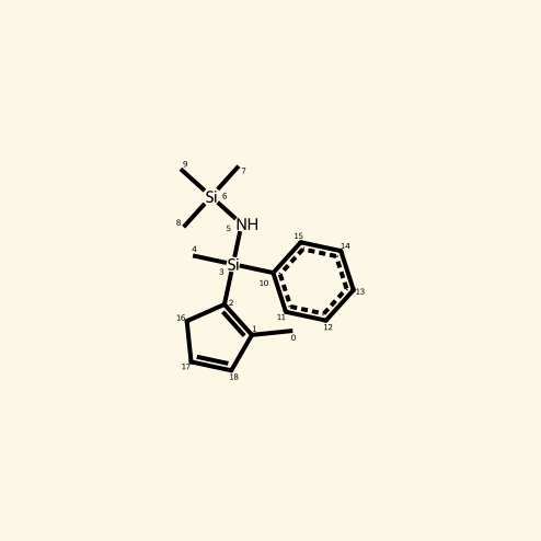 CC1=C([Si](C)(N[Si](C)(C)C)c2ccccc2)CC=C1